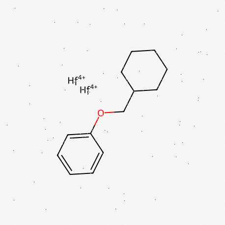 [Hf+4].[Hf+4].c1ccc(OCC2CCCCC2)cc1